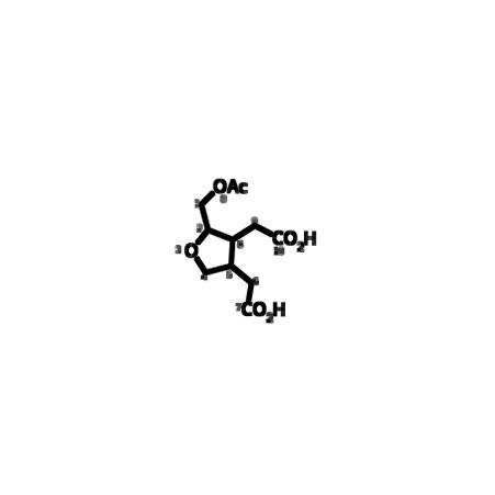 CC(=O)OCC1OCC(CC(=O)O)C1CC(=O)O